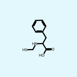 O=C(O)C(Cc1ccccc1)NCS